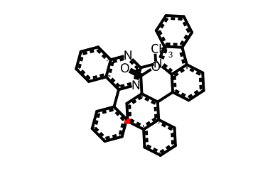 COC(=O)c1ccc2ccccc2c1-c1cccc2c3ccccc3n(-c3nc(-c4ccccc4)c4ccccc4n3)c12